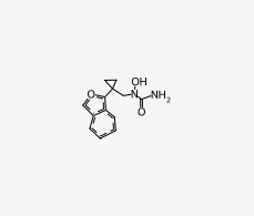 NC(=O)N(O)CC1(c2occ3ccccc23)CC1